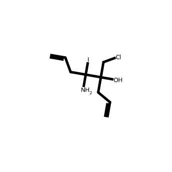 C=CCC(N)(I)C(O)(CCl)CC=C